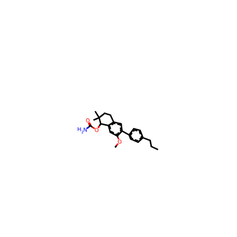 CCCc1ccc(-c2cc3c(cc2OC)C(OC(N)=O)C(C)(C)CC3)cc1